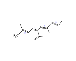 C=C(C)C(=C\C=C(/C)C(F)(F)F)/N=C(C)/C=C/C